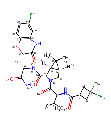 CC(C)[C@H](NC(=O)C1CC(F)(F)C1)C(=O)N1C[C@H]2[C@@H]([C@H]1C(=O)N[C@@H](C[C@@H]1Oc3ccc(F)cc3NC1=O)C(N)=O)C2(C)C